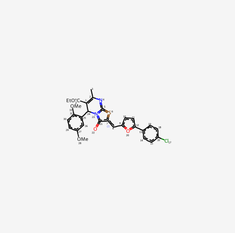 CCOC(=O)C1=C(C)N=c2s/c(=C\c3ccc(-c4ccc(Cl)cc4)o3)c(=O)n2C1c1cc(OC)ccc1OC